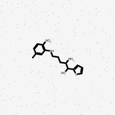 Cc1ccc([N+](=O)[O-])c(NCCCC(N)C(O)c2cccs2)c1